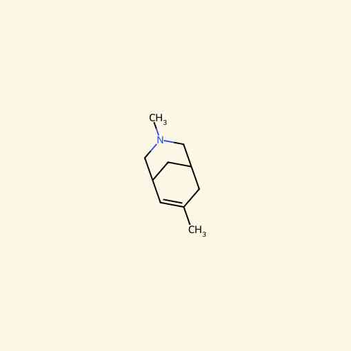 CC1=CC2CC(C1)CN(C)C2